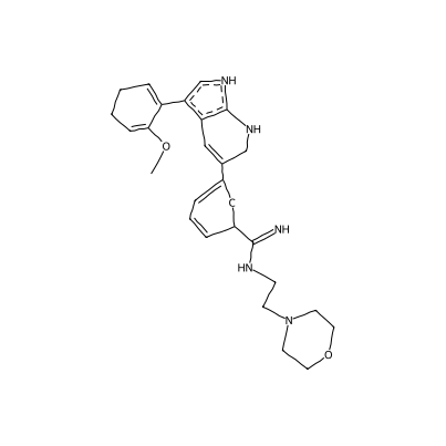 COC1=CCCC=C1c1c[nH]c2c1C=C(C1=CC=CC(C(=N)NCCN3CCOCC3)C1)CN2